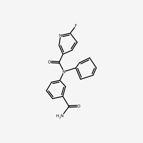 NC(=O)c1cccc(N(C(=O)c2ccc(F)nc2)c2ccccc2)c1